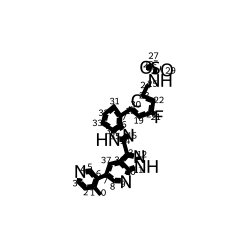 Cc1ccncc1-c1cnc2[nH]nc(-c3nc4c(-c5cc(F)cc(CNS(C)(=O)=O)c5)cccc4[nH]3)c2c1